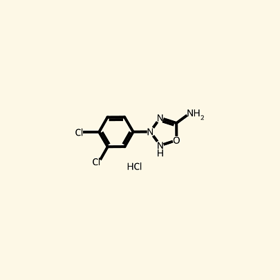 Cl.NC1=NN(c2ccc(Cl)c(Cl)c2)NO1